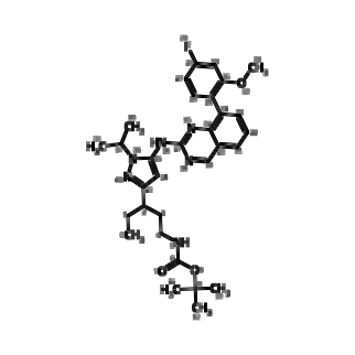 CCC(CCNC(=O)OC(C)(C)C)c1cc(Nc2ncc3cccc(-c4ccc(F)cc4OC)c3n2)n(C(C)C)n1